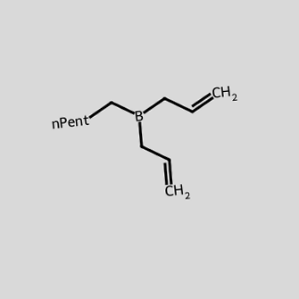 C=CCB(CC=C)CCCCCC